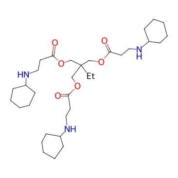 CCC(COC(=O)CCNC1CCCCC1)(COC(=O)CCNC1CCCCC1)COC(=O)CCNC1CCCCC1